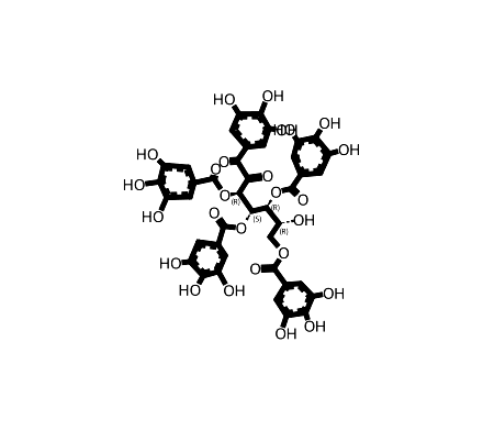 O=C(OC[C@@H](O)[C@@H](OC(=O)c1cc(O)c(O)c(O)c1)[C@H](OC(=O)c1cc(O)c(O)c(O)c1)[C@@H](OC(=O)c1cc(O)c(O)c(O)c1)C(=O)C(=O)c1cc(O)c(O)c(O)c1)c1cc(O)c(O)c(O)c1